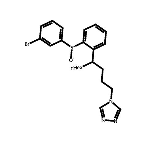 CCCCCCC(CCCn1cnnc1)c1ccccc1[S+]([O-])c1cccc(Br)c1